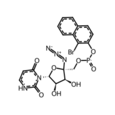 [N-]=[N+]=N[C@]1(CO[P](=O)Oc2ccc3ccccc3c2Br)O[C@@H](n2c(=O)cc[nH]c2=O)[C@H](O)[C@@H]1O